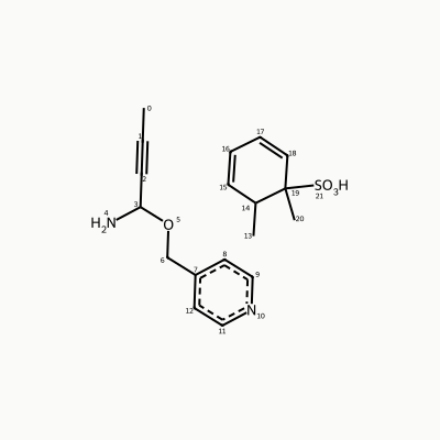 CC#CC(N)OCc1ccncc1.CC1C=CC=CC1(C)S(=O)(=O)O